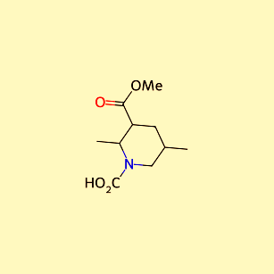 COC(=O)C1CC(C)CN(C(=O)O)C1C